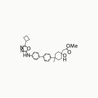 COC(=O)CC1(O)CCC(C)(c2ccc(-c3ccc(Nc4nnc(C5CCC5)o4)cc3)cc2)CC1